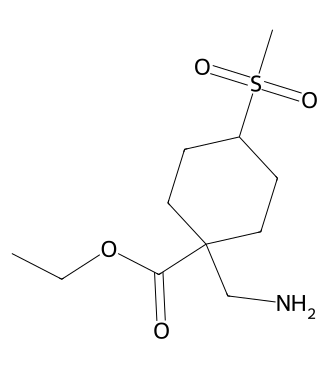 CCOC(=O)C1(CN)CCC(S(C)(=O)=O)CC1